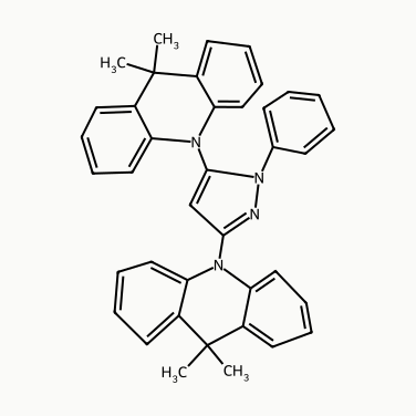 CC1(C)c2ccccc2N(c2cc(N3c4ccccc4C(C)(C)c4ccccc43)n(-c3ccccc3)n2)c2ccccc21